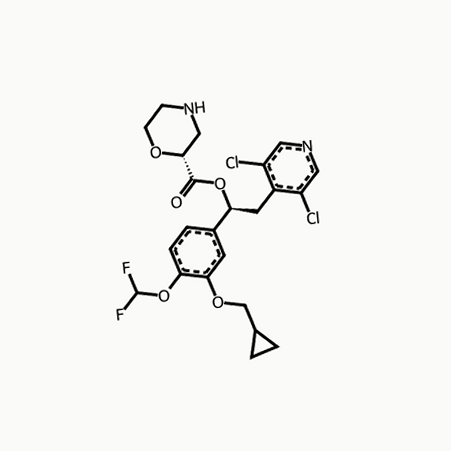 O=C(O[C@@H](Cc1c(Cl)cncc1Cl)c1ccc(OC(F)F)c(OCC2CC2)c1)[C@H]1CNCCO1